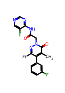 CCc1nn(CC(=O)Nc2ncncc2F)c(=O)c(C)c1-c1cccc(F)c1